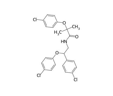 CC(C)(Oc1ccc(Cl)cc1)C(=O)NCC(Oc1ccc(Cl)cc1)c1ccc(Cl)cc1